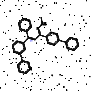 CNN=C(/C=C(\c1ccccc1)c1cccc(-c2cccnc2)c1)c1ccc(-c2ccccc2)cc1